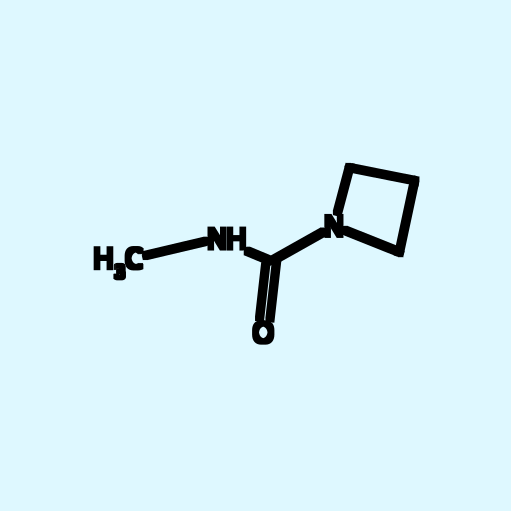 CNC(=O)N1CCC1